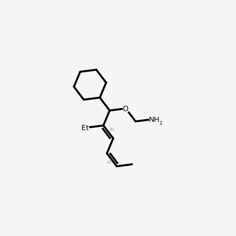 C/C=C\C=C(/CC)C(OCN)C1CCCCC1